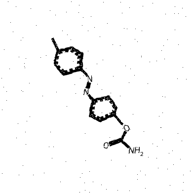 Cc1ccc(N=Nc2ccc(OC(N)=O)cc2)cc1